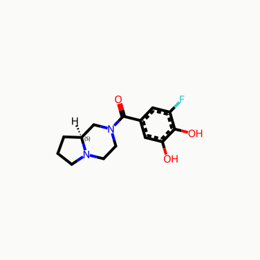 O=C(c1cc(O)c(O)c(F)c1)N1CCN2CCC[C@H]2C1